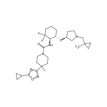 CC1(c2noc(C3CC3)n2)CCN(C(=O)N[C@@H]2[C@@H](O[C@H]3CCN(CC4(C(F)(F)F)CC4)C3)CCCC2(F)F)CC1